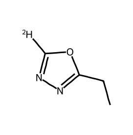 [2H]c1nnc(CC)o1